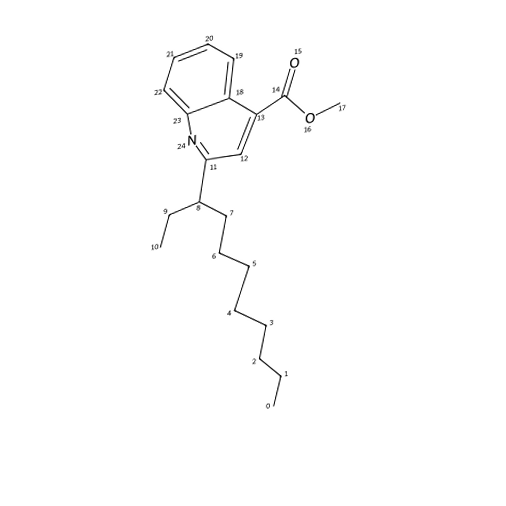 CCCCCCCCC(CC)c1cc(C(=O)OC)c2ccccc2n1